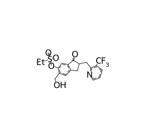 CCS(=O)(=O)Oc1cc2c(cc1CO)CC(Cc1ncccc1C(F)(F)F)C2=O